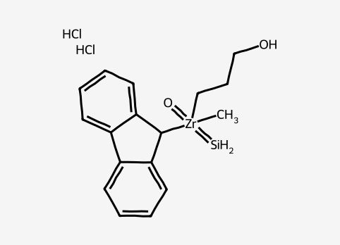 Cl.Cl.[CH3][Zr](=[O])(=[SiH2])([CH2]CCO)[CH]1c2ccccc2-c2ccccc21